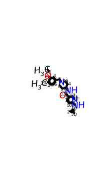 CCOc1cc(CN2CCC(NC(=O)c3ccc(NC4CC4)nc3)CC2)ccc1C